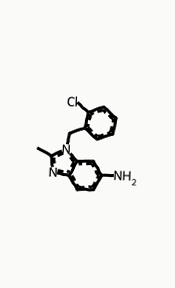 Cc1nc2ccc(N)cc2n1Cc1ccccc1Cl